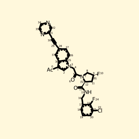 CC(=O)c1cn(CC(=O)N2C[C@H](F)C[C@H]2C(=O)NCc2cccc(Cl)c2F)c2ccc(C#Cc3cnccn3)cc12